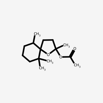 CC(=O)OC1(C)CCC2(O1)C(C)CCCC2(C)C